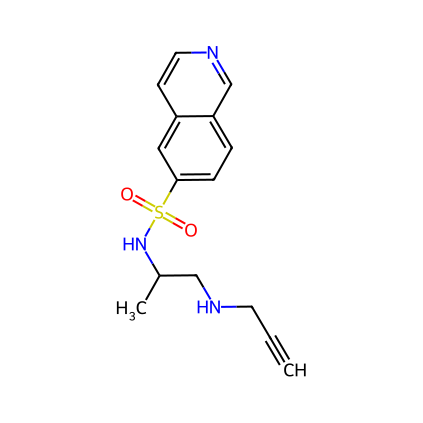 C#CCNCC(C)NS(=O)(=O)c1ccc2cnccc2c1